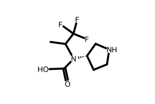 CC(N(C(=O)O)[C@H]1CCNC1)C(F)(F)F